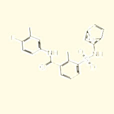 Cc1cc(NC(=O)c2cccc(S(=O)(=O)Nc3cc4ccc3o4)c2C)ccc1F